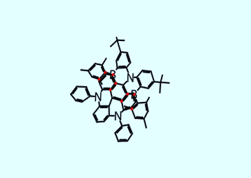 Cc1cc(C)c(B2c3cc(C(C)(C)C)ccc3N3c4ccc(C(C)(C)C)cc4B(c4c(C)cc(C)cc4C)c4cc(-c5c(N(c6ccccc6)c6ccccc6)cccc5N(c5ccccc5)c5ccccc5)cc2c43)c(C)c1